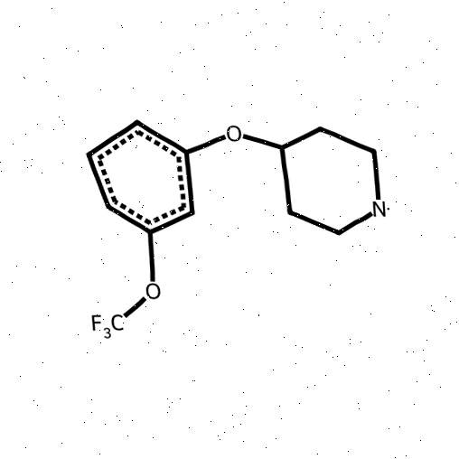 FC(F)(F)Oc1cccc(OC2CC[N]CC2)c1